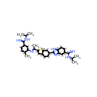 C/C(=N\c1cc(C(=N)NC(C)C)ccc1C)c1cc2ccc(-c3nc4cc(C(=N)NC(C)C)ccc4[nH]3)cc2s1